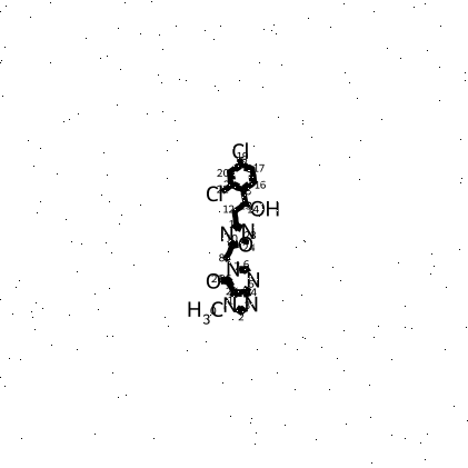 Cn1cnc2ncn(Cc3nc(CC(O)c4ccc(Cl)cc4Cl)no3)c(=O)c21